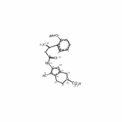 COc1ccccc1C(C)CC(=O)Nc1sc2c(c1C#N)CCN(C(=O)O)C2